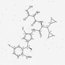 CC/C(=N/O)C(=N)C(=O)N[C@H](C(=O)Nc1cn([C@@H](C)c2cc(F)cnc2OC)nc1F)C(C1CC1)C1CC1